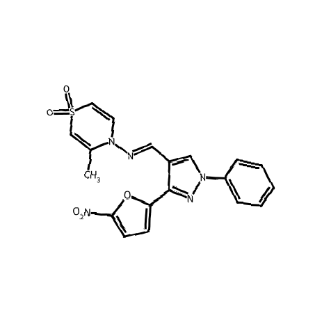 CC1=CS(=O)(=O)C=CN1N=Cc1cn(-c2ccccc2)nc1-c1ccc([N+](=O)[O-])o1